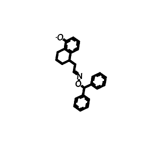 [O]c1cccc2c1CCCC2CC=NOC(c1ccccc1)c1ccccc1